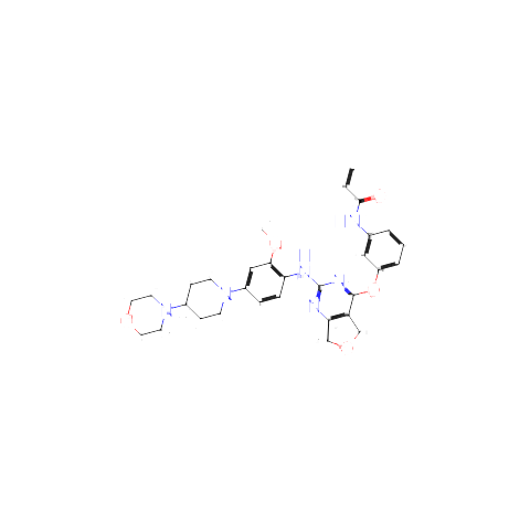 C=CC(=O)Nc1cccc(Oc2nc(Nc3ccc(N4CCC(N5CCOCC5)CC4)cc3OC)nc3c2COC3)c1